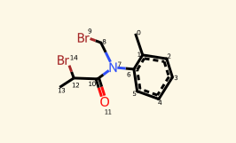 Cc1ccccc1N(CBr)C(=O)C(C)Br